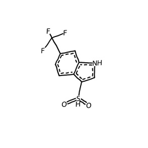 O=[SH](=O)c1c[nH]c2cc(C(F)(F)F)ccc12